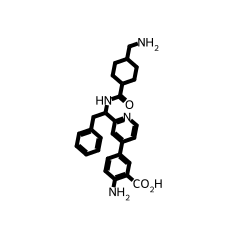 NCC1CCC(C(=O)NC(Cc2ccccc2)c2cc(-c3ccc(N)c(C(=O)O)c3)ccn2)CC1